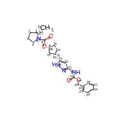 C[C@H]1CCCN1C(=O)O[C@@H]1CC[C@H](c2cc(NC(=O)OCc3ccccc3)n[nH]2)C1